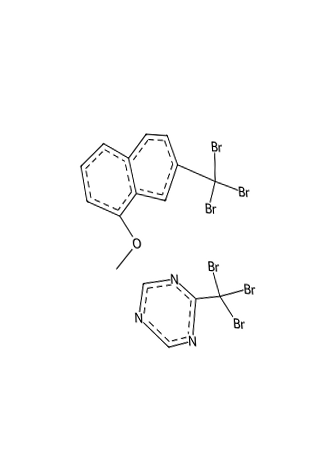 BrC(Br)(Br)c1ncncn1.COc1cccc2ccc(C(Br)(Br)Br)cc12